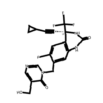 O=C1Nc2cc(Cn3cncc(CO)c3=O)c(F)cc2[C@@](C#CC2CC2)(C(F)(F)F)N1